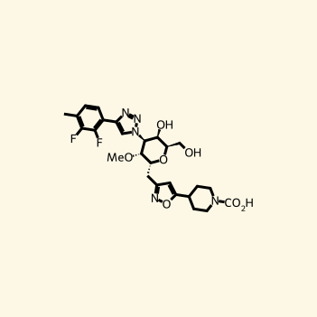 CO[C@@H]1[C@@H](n2cc(-c3ccc(C)c(F)c3F)nn2)[C@@H](O)[C@@H](CO)O[C@@H]1Cc1cc(C2CCN(C(=O)O)CC2)on1